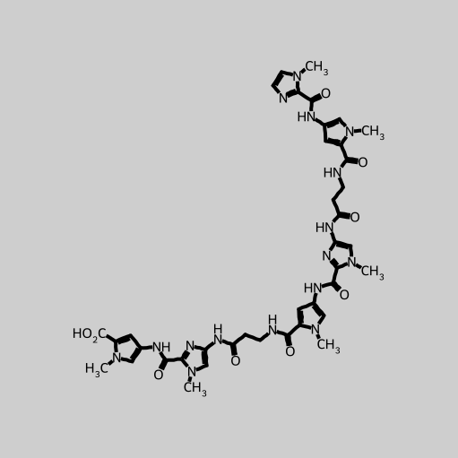 Cn1cc(NC(=O)c2nc(NC(=O)CCNC(=O)c3cc(NC(=O)c4nc(NC(=O)CCNC(=O)c5cc(NC(=O)c6nccn6C)cn5C)cn4C)cn3C)cn2C)cc1C(=O)O